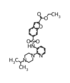 CCOC(=O)c1cc2ccc(S(=O)(=O)Nc3cccnc3N3CCN(C(C)C)CC3)cc2o1